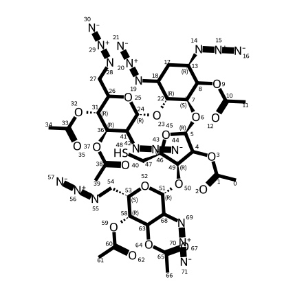 CC(=O)OC1[C@H](O[C@@H]2C(OC(C)=O)[C@H](N=[N+]=[N-])CC(N=[N+]=[N-])[C@H]2O[C@H]2OC(CN=[N+]=[N-])[C@@H](OC(C)=O)[C@H](OC(C)=O)C2N=[N+]=[N-])O[C@H](CS)[C@@H]1O[C@H]1O[C@@H](CN=[N+]=[N-])[C@@H](OC(C)=O)C(OC(C)=O)C1N=[N+]=[N-]